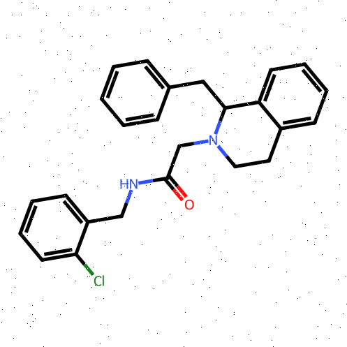 O=C(CN1CCc2ccccc2C1Cc1ccccc1)NCc1ccccc1Cl